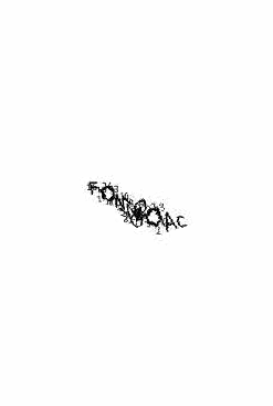 CC(=O)c1ccc(S(=O)(=O)N2CCN(c3ccc(F)cc3)C[C@H]2C)cc1